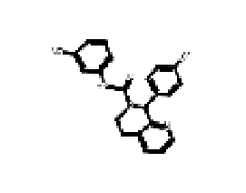 N#Cc1cccc(NC(=O)N2CCc3cccnc3C2c2ccc(C(F)(F)F)cc2)c1